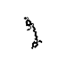 CCN1/C(=C/C=C/C=C/c2sc3cc(O)ccc3[n+]2CC)Sc2cc(C)ccc21